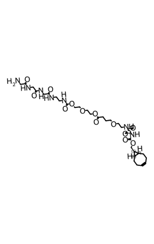 NCC(=O)NCC(=O)NCC(=O)NCCNC(=O)OCCOCCOC(=O)CCCOCCNS(=O)(=O)NC(=O)OC[C@@H]1[C@@H]2CCC#CCC[C@@H]21